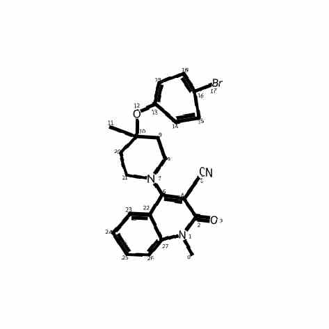 Cn1c(=O)c(C#N)c(N2CCC(C)(Oc3ccc(Br)cc3)CC2)c2ccccc21